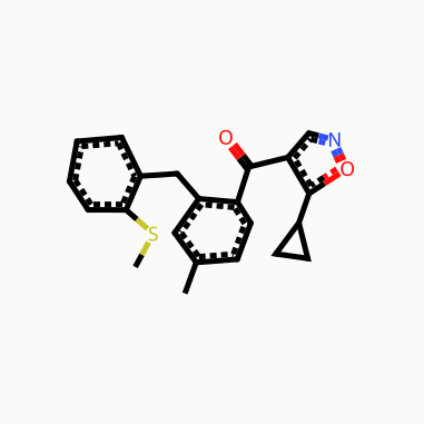 CSc1ccccc1Cc1cc(C)ccc1C(=O)c1cnoc1C1CC1